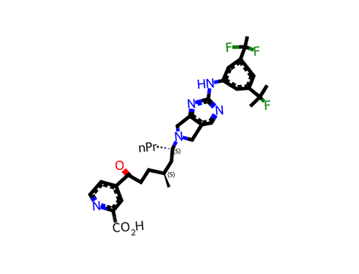 CCC[C@@H](C[C@@H](C)CCC(=O)c1ccnc(C(=O)O)c1)N1Cc2cnc(Nc3cc(C(C)(C)F)cc(C(C)(F)F)c3)nc2C1